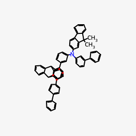 CC1(C)c2ccccc2-c2ccc(N(c3cccc(-c4ccccc4)c3)c3cccc(-c4ccc(-c5ccc(-c6ccccc6)cc5)c5c4C4c6ccccc6C5c5ccccc54)c3)cc21